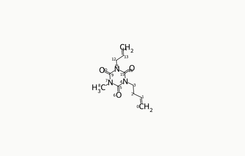 C=CCCn1c(=O)n(C)c(=O)n(CC=C)c1=O